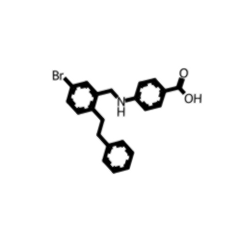 O=C(O)c1ccc(NCc2cc(Br)ccc2CCc2ccccc2)cc1